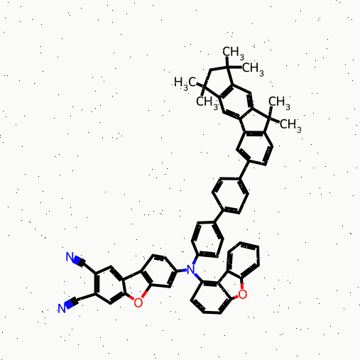 CC1(C)CC(C)(C)c2cc3c(cc21)-c1cc(-c2ccc(-c4ccc(N(c5ccc6c(c5)oc5cc(C#N)c(C#N)cc56)c5cccc6oc7ccccc7c56)cc4)cc2)ccc1C3(C)C